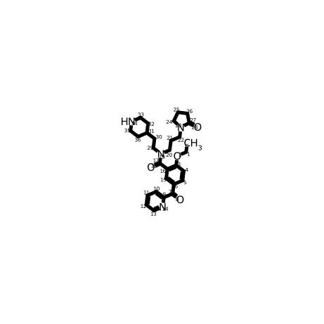 CCOc1ccc(C(=O)c2ccccn2)cc1C(=O)N(CCCN1CCCC1=O)CCC1CCNCC1